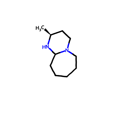 C[C@H]1CCN2CCCCCC2N1